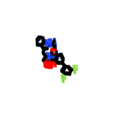 CCCOc1ccc(-c2cc(F)cc(F)c2)cc1C(=O)NC(CO)Cc1c[nH]c2ccccc12